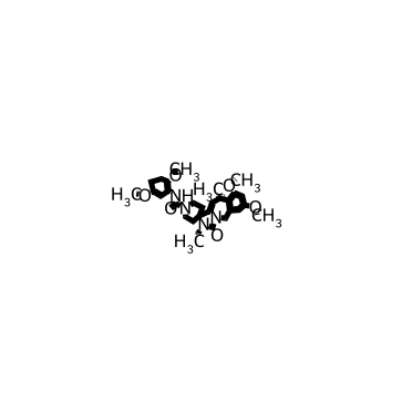 CCN1C(=O)N2Cc3cc(OC)cc(OC)c3[C@@H](C)C=C2C12CCN(C(=O)NC1=C(OC)CCC(OC)=C1)CC2